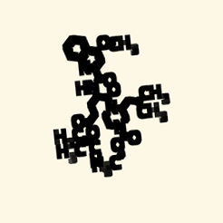 CCOC(=O)N1CCN(C(=O)C(CCC(=O)OC(C)(C)C)NC(=O)c2cc(OC)c3ccccc3n2)C(CC(C)C)C1